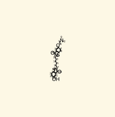 CN(C)CCOc1ccc2sn(CCCCCCn3sc4ccc(O)cc4c3=O)c(=O)c2c1